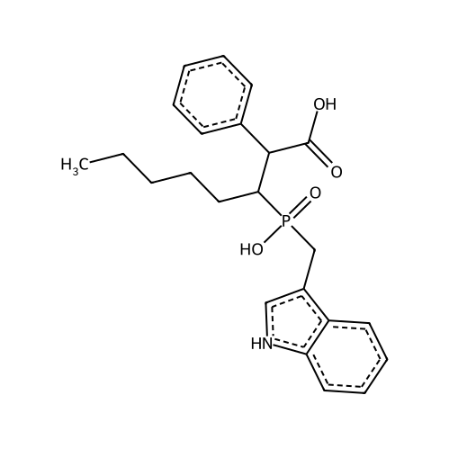 CCCCCC(C(C(=O)O)c1ccccc1)P(=O)(O)Cc1c[nH]c2ccccc12